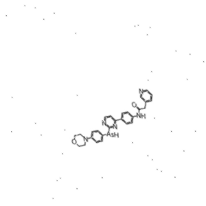 O=C(Cc1cccnc1)Nc1ccc(-c2ccnc([AsH]c3ccc(N4CCOCC4)cc3)n2)cc1